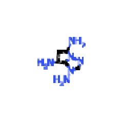 Nc1cc(N)n2ncn(N)c12